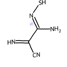 N#CC(=N)/C(N)=N/S